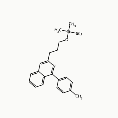 Cc1ccc(-c2nc(CCCO[Si](C)(C)C(C)(C)C)cc3ccccc23)cc1